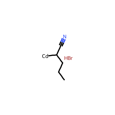 Br.CCC[CH]([Cd])C#N